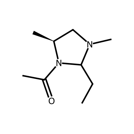 CCC1N(C)C[C@H](C)N1C(C)=O